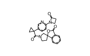 O=C1OC2(CCN(C(=O)C3(c4ccc(N5CCC5=O)nc4)CC3)C2)c2ccccc21